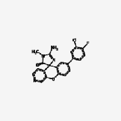 CN1C(=O)C2(N=C1N)c1ccncc1Oc1ccc(-c3ccc(F)c(Cl)c3)cc12